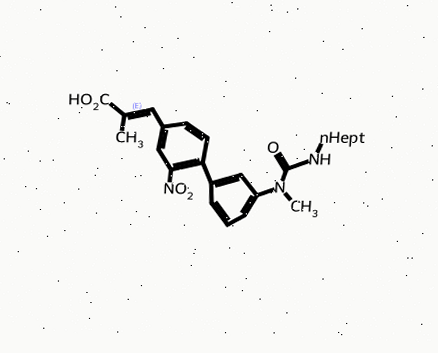 CCCCCCCNC(=O)N(C)c1cccc(-c2ccc(/C=C(\C)C(=O)O)cc2[N+](=O)[O-])c1